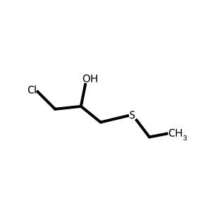 CCSCC(O)CCl